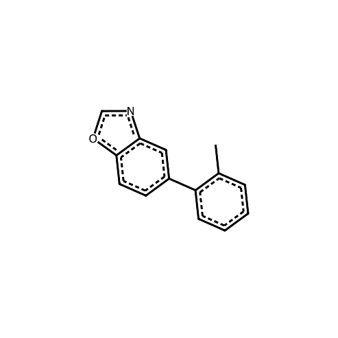 Cc1ccccc1-c1ccc2ocnc2c1